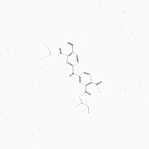 CCC(C)NC(=O)c1cc(C(=N)c2ccc(C(N)=O)c(C(=O)NC(C)CC)c2)ccc1C(N)=O